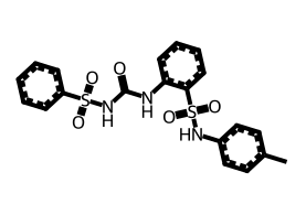 Cc1ccc(NS(=O)(=O)c2ccccc2NC(=O)NS(=O)(=O)c2ccccc2)cc1